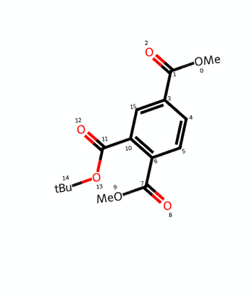 COC(=O)c1ccc(C(=O)OC)c(C(=O)OC(C)(C)C)c1